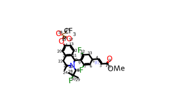 COC(=O)/C=C/C1C=C(F)C(C2c3ccc(OS(=O)(=O)C(F)(F)F)cc3CC(C)N2CC(C)(C)F)=C(F)C1